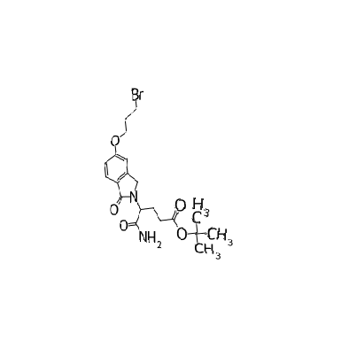 CC(C)(C)OC(=O)CCC(C(N)=O)N1Cc2cc(OCCCBr)ccc2C1=O